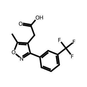 Cc1onc(-c2cccc(C(F)(F)F)c2)c1CC(=O)O